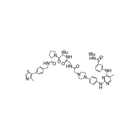 Cc1cnc(Nc2ccc(N3CCN(CC(=O)NCC(=O)N[C@H](C(=O)N4CCC[C@H]4C(=O)NCc4ccc(-c5scnc5C)cc4)C(C)(C)C)CC3)cc2)nc1Nc1cccc([S+]([O-])NC(C)(C)C)c1